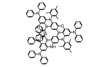 Cc1cc(C)c(N2c3cc4c(cc3B3c5cc6c(cc5Oc5cc(N(c7ccccc7)c7ccccc7)cc2c53)N(c2c(C)cc(C)cc2C)c2cc(N(c3ccccc3)c3ccccc3)cc3c2B6c2sc5ccccc5c2O3)B2c3sc5ccccc5c3N(c3ccccc3)c3cc(N(c5ccccc5)c5ccccc5)cc(c32)N4)c(C)c1